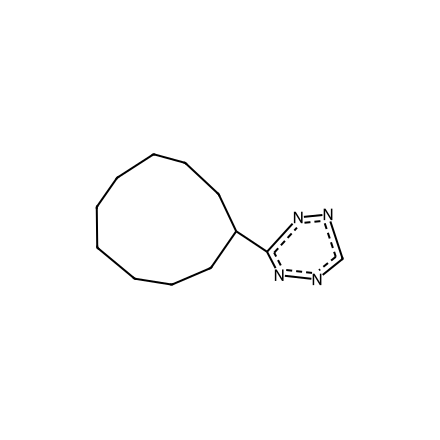 c1nnc(C2CCCCCCCCC2)nn1